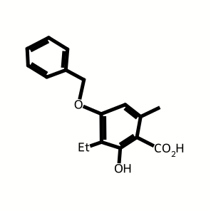 CCc1c(OCc2ccccc2)cc(C)c(C(=O)O)c1O